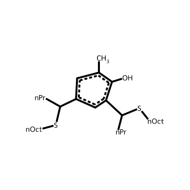 CCCCCCCCSC(CCC)c1cc(C)c(O)c(C(CCC)SCCCCCCCC)c1